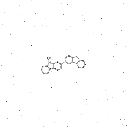 Cn1c2ccccc2c2ccc(-c3ccc4c(c3)-c3ccccc3C4)cc21